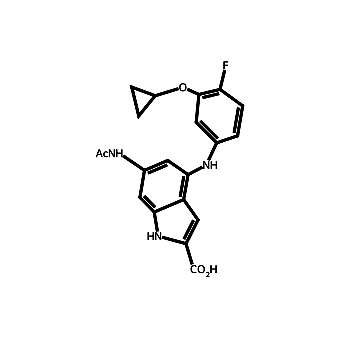 CC(=O)Nc1cc(Nc2ccc(F)c(OC3CC3)c2)c2cc(C(=O)O)[nH]c2c1